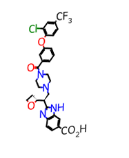 O=C(O)c1ccc2nc([C@H](CN3CCN(C(=O)c4cccc(Oc5ccc(C(F)(F)F)cc5Cl)c4)CC3)[C@H]3CCO3)[nH]c2c1